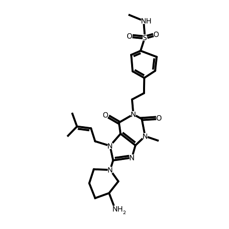 CNS(=O)(=O)c1ccc(CCn2c(=O)c3c(nc(N4CCCC(N)C4)n3CC=C(C)C)n(C)c2=O)cc1